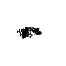 CC[C@@H](c1ncc(-c2ccc(-c3ccc(-c4cnc([C@@H]5CCCN5)[nH]4)cc3)cc2)[nH]1)N(CC)C(=O)[C@@H](NC1OCO1)C(C)C